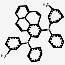 Cc1cccc(N(c2ccccc2)c2cc(N(c3ccccc3)c3cccc(C)c3)c3c4c2C=CC2=CC=CC(C=C3)C24)c1